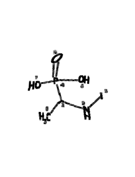 CC(NI)P(=O)(O)O